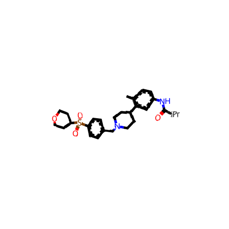 Cc1ccc(NC(=O)C(C)C)cc1C1CCN(Cc2ccc(S(=O)(=O)C3CCOCC3)cc2)CC1